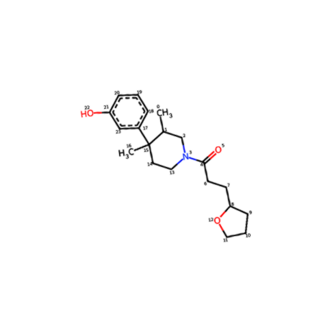 CC1CN(C(=O)CCC2CCCO2)CCC1(C)c1cccc(O)c1